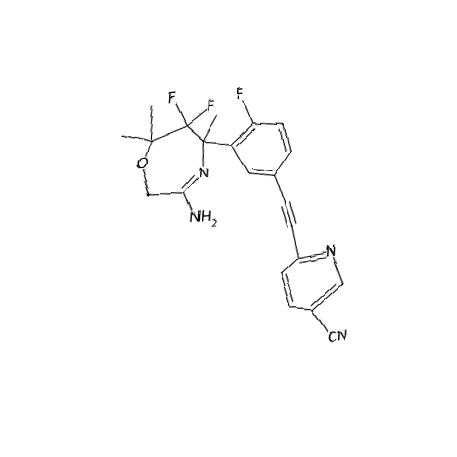 CC1(C)OCC(N)=NC(C)(c2cc(C#Cc3ccc(C#N)cn3)ccc2F)C1(F)F